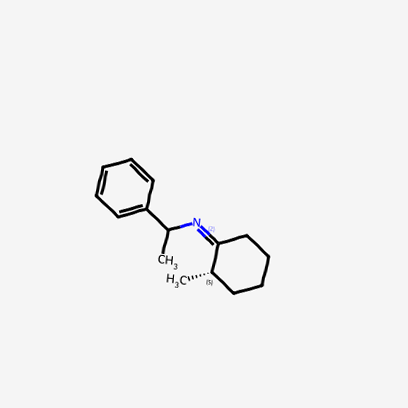 CC(/N=C1/CCCC[C@@H]1C)c1ccccc1